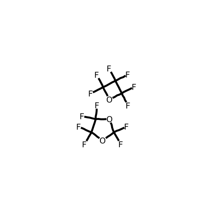 FC1(F)OC(F)(F)C(F)(F)O1.FC1(F)OC(F)(F)C1(F)F